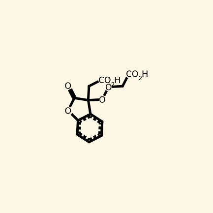 O=C(O)COOC1(CC(=O)O)C(=O)Oc2ccccc21